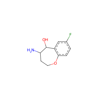 NC1CCOc2ccc(F)cc2C1O